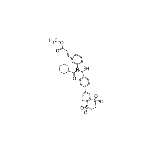 [2H]C(c1ccc(-c2ccc3c(c2)S(=O)(=O)CCS3(=O)=O)cc1)N(C(=O)C1CCCCC1)c1cccc(/C=C/C(=O)OC)c1